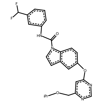 CC(C)OCc1cc(Oc2ccc3c(ccn3C(=O)Nc3cccc(C(F)F)c3)c2)ncn1